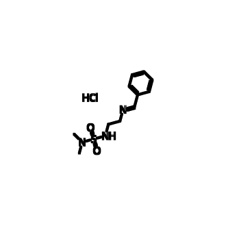 CN(C)S(=O)(=O)NCCN=Cc1ccccc1.Cl